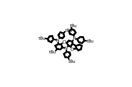 CC(C)(C)c1ccc(N(c2ccc(C(C)(C)C)cc2)c2cc(C(C)(C)C)cc(N(c3ccc(C(C)(C)C)cc3)c3ccc(N(c4ccc(C(C)(C)C)cc4)c4ccc(C(C)(C)C)cc4)c4c3oc3ccccc34)c2Cl)cc1